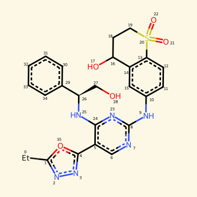 CCc1nnc(-c2cnc(Nc3ccc4c(c3)C(O)CCS4(=O)=O)nc2N[C@H](CO)c2ccccc2)o1